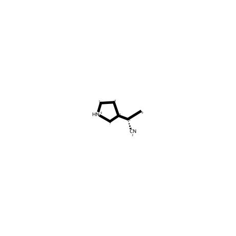 C[C@H](C#N)C1CCNC1